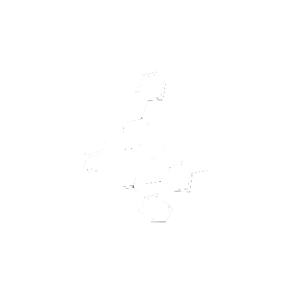 CO/N=C/C[C@H](OC(=O)c1ccccc1)[C@@H](COC(=O)c1ccccc1)OS(=O)(=O)c1cc(Cl)c(Cl)cc1Cl